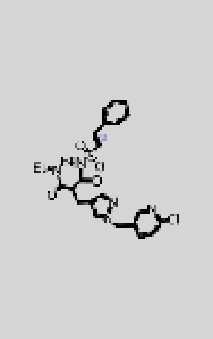 CCN(CC)C(=O)C(Cc1cnn(Cc2ccc(Cl)nc2)c1)C(=O)NS(=O)(=O)/C=C/c1ccccc1